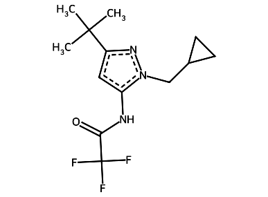 CC(C)(C)c1cc(NC(=O)C(F)(F)F)n(CC2CC2)n1